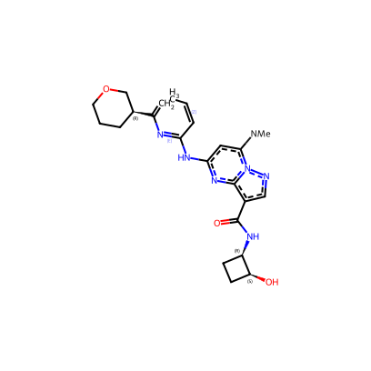 C=C(/N=C(\C=C/C)Nc1cc(NC)n2ncc(C(=O)N[C@@H]3CC[C@@H]3O)c2n1)[C@H]1CCCOC1